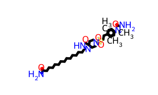 Cc1cc(N(C)C(N)=O)cc(C)c1CCS(=O)(=O)N1CCC2(CC1)N=C(CCCCCCCCCCCCCC(N)=O)NC2=O